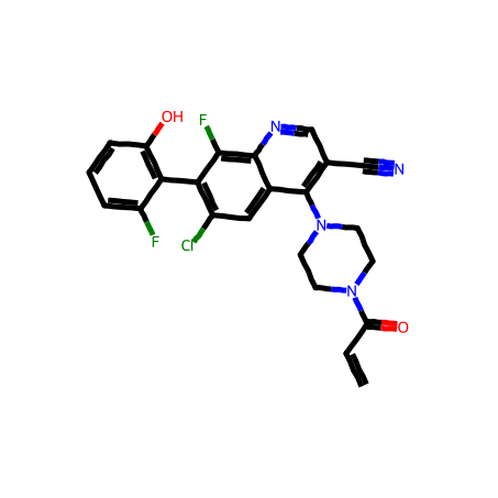 C=CC(=O)N1CCN(c2c(C#N)cnc3c(F)c(-c4c(O)cccc4F)c(Cl)cc23)CC1